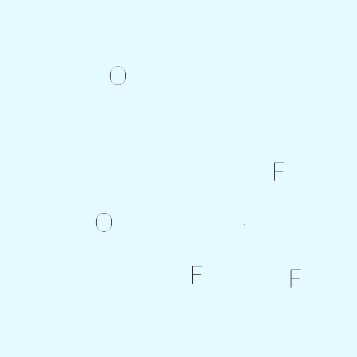 CC(C)OC(C(=O)C(C)C)C(F)(F)F